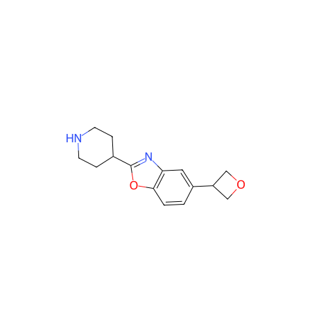 c1cc2oc(C3CCNCC3)nc2cc1C1COC1